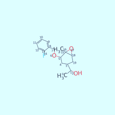 CC(O)C1CC(OCc2ccccc2F)C2(C)OC2C1